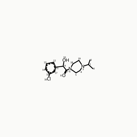 CC(C)N1CCN(C(=O)C(O)c2cccc(Cl)c2)CC1